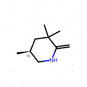 C=C1NC[C@@H](C)CC1(C)C